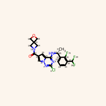 C[C@@H](Nc1nc(Cl)nn2cc(C(=O)N3CC4(COC4)C3)cc12)c1cccc(C(F)F)c1F